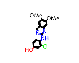 COc1cc2cnc(Nc3ccc(O)cc3Cl)nc2cc1OC